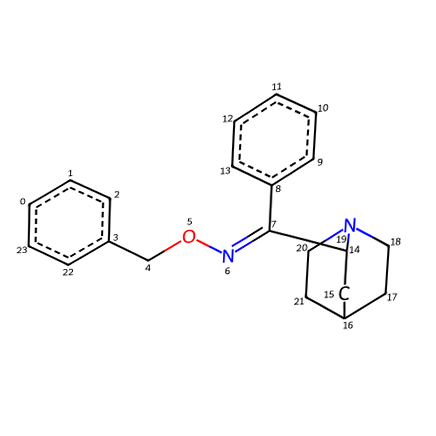 c1ccc(CON=C(c2ccccc2)C2CC3CCN2CC3)cc1